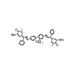 CC1=C/C(=C(\N=N\c2ccc(-c3ccc(/N=N/C(=C4\C=C(C)C(=O)C(C(C)(C)C)=C4)c4ccccc4)cc3C(F)(F)F)c(C(F)(F)F)c2)c2ccccc2)C=C(C(C)(C)C)C1=O